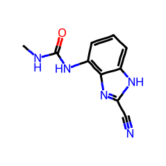 CNC(=O)Nc1cccc2[nH]c(C#N)nc12